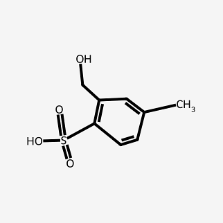 Cc1ccc(S(=O)(=O)O)c(CO)c1